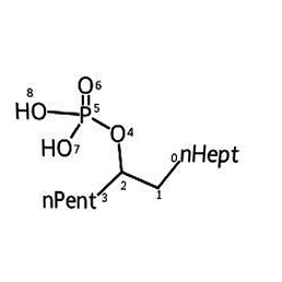 CCCCCCCCC(CCCCC)OP(=O)(O)O